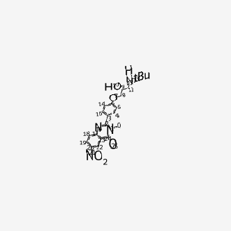 Cn1c(-c2ccc(OCC(O)CNC(C)(C)C)cc2)nc2ccc([N+](=O)[O-])cc2c1=O